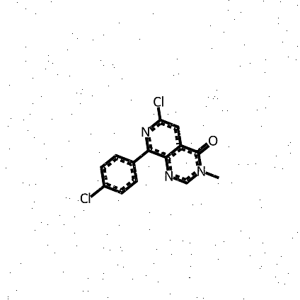 Cn1cnc2c(-c3ccc(Cl)cc3)nc(Cl)cc2c1=O